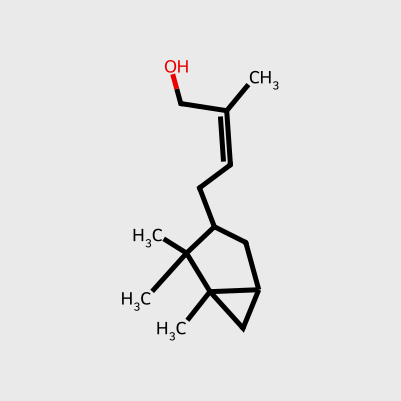 CC(=CCC1CC2CC2(C)C1(C)C)CO